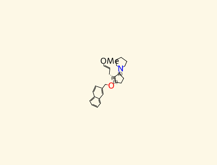 COC=CC[C@H]1[C@@H](OCc2ccc3ccccc3c2)CC[C@@H]1N1CCCCC1